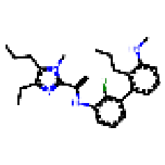 C=C(Nc1cccc(-c2cccc(NC)c2CCC)c1Cl)c1nc(CC)c(CCC)n1C